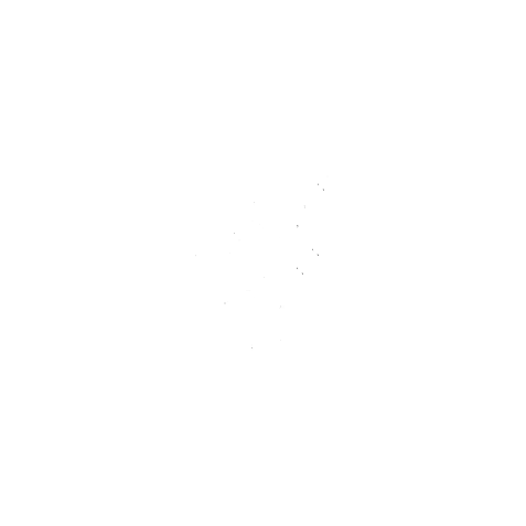 CC(=O)c1cc(Cl)c2c(C#N)n[nH]c2c1-c1ccccc1